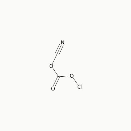 N#COC(=O)OCl